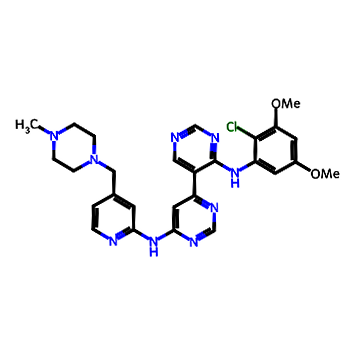 COc1cc(Nc2ncncc2-c2cc(Nc3cc(CN4CCN(C)CC4)ccn3)ncn2)c(Cl)c(OC)c1